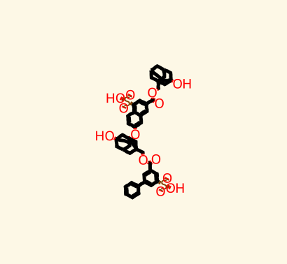 O=C(OCC12CC3CC(CC(O)(C3)C1)C2)c1cc(S(=O)(=O)O)c2ccc(OC34CC5CC(O)(CC(COC(=O)c6cc(-c7ccccc7)cc(S(=O)(=O)O)c6)(C5)C3)C4)cc2c1